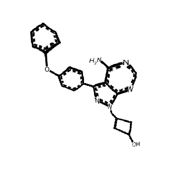 Nc1ncnc2c1c(-c1ccc(Oc3ccccc3)cc1)nn2C1CC(O)C1